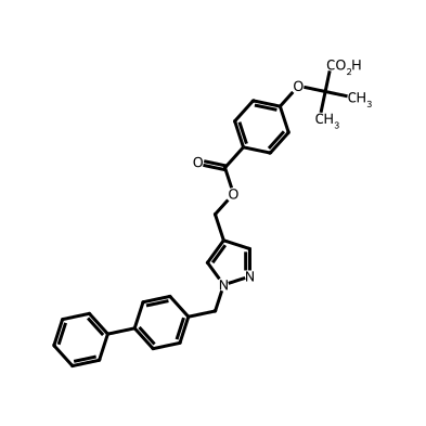 CC(C)(Oc1ccc(C(=O)OCc2cnn(Cc3ccc(-c4ccccc4)cc3)c2)cc1)C(=O)O